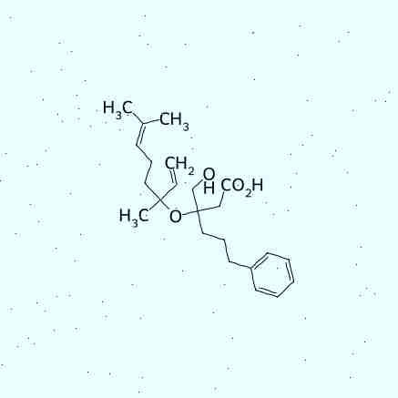 C=CC(C)(CCC=C(C)C)OC(CO)(CCCc1ccccc1)CC(=O)O